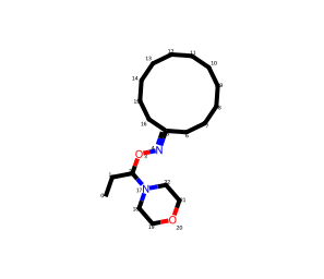 CCC(ON=C1CCCCCCCCCCC1)N1CCOCC1